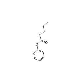 O=C(OCCF)Oc1ccccc1